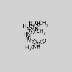 CNc1cc(-c2cc(Nc3ccc(N(C)CCN(C)C)c(OC)n3)ncn2)ccc1OC1CCOCC1